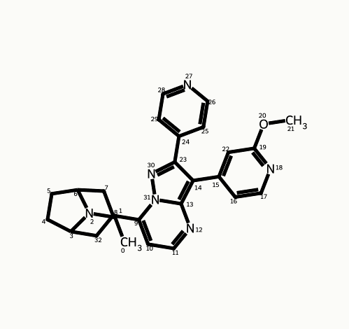 CCN1C2CCC1CC(c1ccnc3c(-c4ccnc(OC)c4)c(-c4ccncc4)nn13)C2